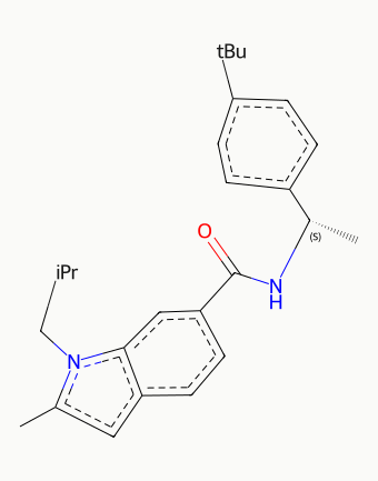 Cc1cc2ccc(C(=O)N[C@@H](C)c3ccc(C(C)(C)C)cc3)cc2n1CC(C)C